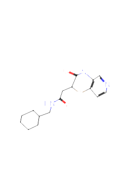 O=C(CC1Sc2ccncc2NC1=O)NCC1CCCCC1